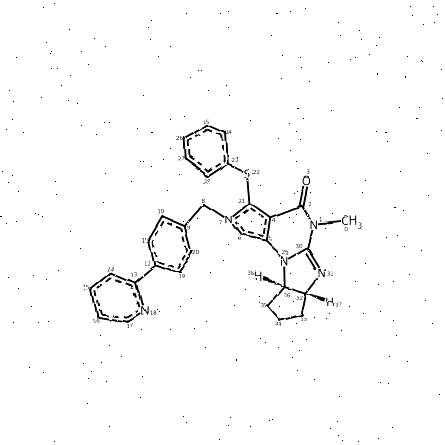 CN1C(=O)c2c(cn(Cc3ccc(-c4ccccn4)cc3)c2Sc2ccccc2)N2C1=N[C@@H]1CCC[C@@H]12